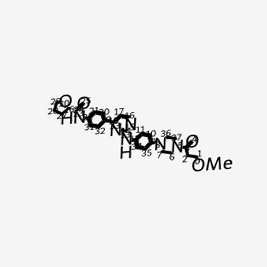 COCCC(=O)N1CCN(c2ccc(Nc3nccc(-c4ccc(NC(=O)[C@@H]5CCCO5)cc4)n3)cc2)CC1